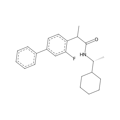 CC(C(=O)N[C@H](C)C1CCCCC1)c1ccc(-c2ccccc2)cc1F